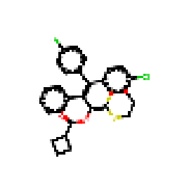 O=C(OC(=C1SCCCS1)C(=C(c1ccc(Cl)cc1)c1ccc(Cl)cc1)c1ccccc1)C1CCC1